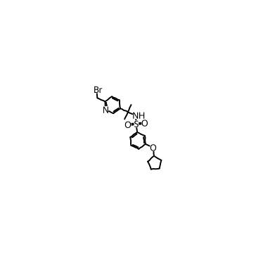 CC(C)(NS(=O)(=O)c1cccc(OC2CCCC2)c1)c1ccc(CBr)nc1